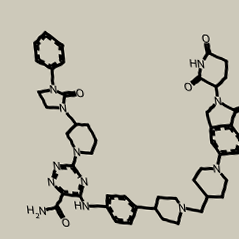 NC(=O)c1nnc(N2CCCC(N3CCN(c4ccccc4)C3=O)C2)nc1Nc1ccc(C2CCN(CC3CCN(c4ccc5c(c4)CN(C4CCC(=O)NC4=O)C5=O)CC3)CC2)cc1